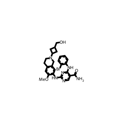 COc1cc2c(cc1Nc1ncc(C(N)=O)c(Nc3ccccc3Br)n1)CN(C1CC(CO)C1)CC2